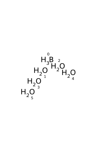 B.O.O.O.O.O